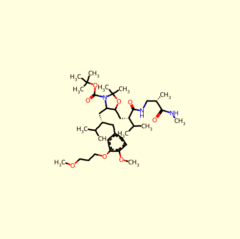 CNC(=O)[C@@H](C)CNC(=O)[C@@H](CC1OC(C)(C)N(C(=O)OC(C)(C)C)C1C[C@H](Cc1ccc(OC)c(OCCCOC)c1)C(C)C)C(C)C